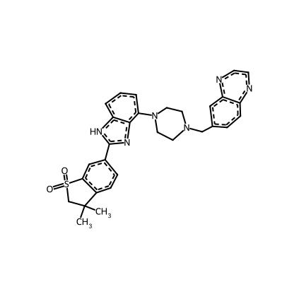 CC1(C)CS(=O)(=O)c2cc(-c3nc4c(N5CCN(Cc6ccc7nccnc7c6)CC5)cccc4[nH]3)ccc21